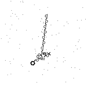 COCCOCCOCCOCCOCCOCCOCCNC(=O)[C@H](CC(=O)OC(C)(C)C)NC(=O)OCc1ccccc1